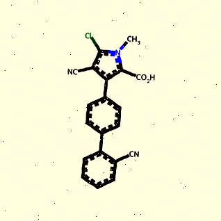 Cn1c(Cl)c(C#N)c(-c2ccc(-c3ccccc3C#N)cc2)c1C(=O)O